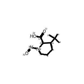 CC(C)(C)C1CCCN(N=O)C1C(=O)O